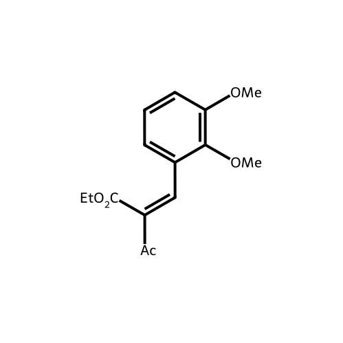 CCOC(=O)/C(=C\c1cccc(OC)c1OC)C(C)=O